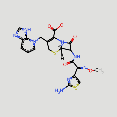 CON=C(C(=O)NC1C(=O)N2C(C(=O)[O-])=C(C[n+]3cccc4nc[nH]c43)CS[C@@H]12)c1csc(N)n1